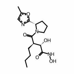 CCCC[C@@H](C(=O)N1CCC[C@H]1c1ncc(C)o1)[C@H](O)C(=O)NO